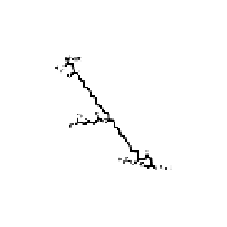 C=C=C=C=CC(CCCCC)CC(=O)OCCCCCCCCCCC(CCCCCCCCCCOC(=O)CC(C)CCCCC)OC(=O)CCCN(C)C(C)C